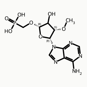 CO[C@H]1C(O)[C@@H](OCP(=O)(O)O)O[C@H]1n1cnc2c(N)ncnc21